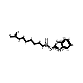 CC(C)CCCCCCCNSc1nc2ccccc2s1